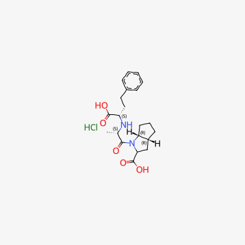 C[C@H](N[C@@H](CCc1ccccc1)C(=O)O)C(=O)N1C(C(=O)O)C[C@H]2CCC[C@H]21.Cl